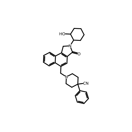 N#CC1(c2ccccc2)CCN(Cc2cc3c(c4ccccc24)CN(C2CCCCC2O)C3=O)CC1